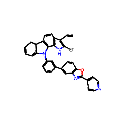 C=Cc1c(CC)[nH]c2c3c(ccc12)C1CC=CC=C1N3c1cccc(-c2ccc3oc(-c4ccncc4)nc3c2)c1